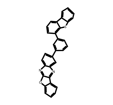 c1cc(-c2ccc3nc4oc5ccccc5c4nc3c2)cc(-c2cccc3c2sc2ccccc23)c1